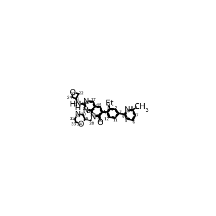 CCc1cc(-c2cccc(C)n2)ccc1-c1cc2cnc(NC3COC3)nc2n(C[C@@H]2CNCCO2)c1=O